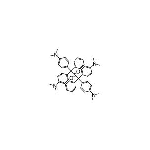 CN(C)c1ccc(C(c2ccccc2)(c2ccc(N(C)C)cc2)S(=O)(=O)C(c2ccccc2)(c2ccc(N(C)C)cc2)c2ccc(N(C)C)cc2)cc1